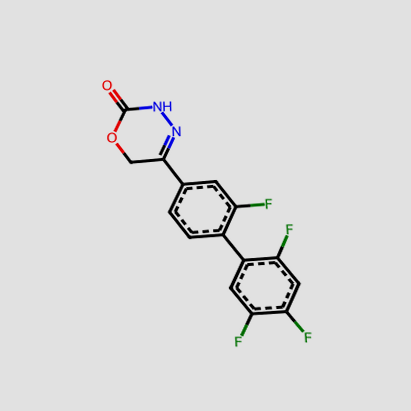 O=C1NN=C(c2ccc(-c3cc(F)c(F)cc3F)c(F)c2)CO1